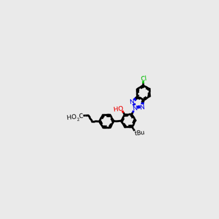 CC(C)(C)c1cc(-c2ccc(CCC(=O)O)cc2)c(O)c(-n2nc3ccc(Cl)cc3n2)c1